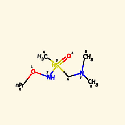 CCCON[SH](C)(=O)CN(C)C